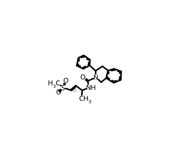 CC(/C=C/S(C)(=O)=O)NC(=O)N1Cc2ccccc2CC1c1ccccc1